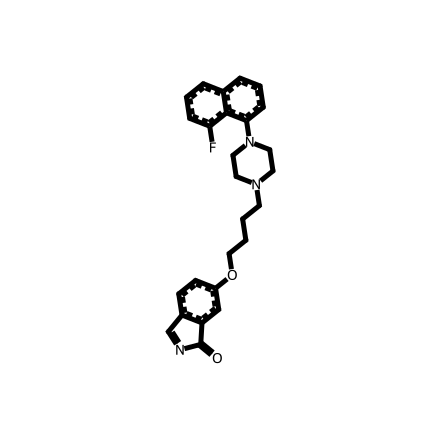 O=C1N=Cc2ccc(OCCCCN3CCN(c4cccc5cccc(F)c45)CC3)cc21